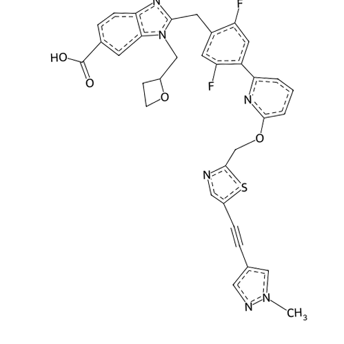 Cn1cc(C#Cc2cnc(COc3cccc(-c4cc(F)c(Cc5nc6ccc(C(=O)O)cc6n5CC5CCO5)cc4F)n3)s2)cn1